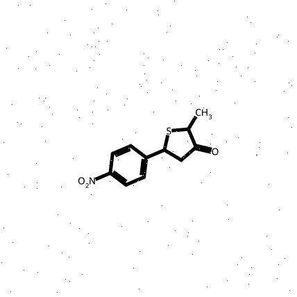 CC1SC(c2ccc([N+](=O)[O-])cc2)CC1=O